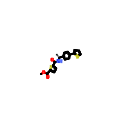 COC(=O)c1ccc(C(=O)N[C@H](C)c2ccc(-c3cccs3)cc2)s1